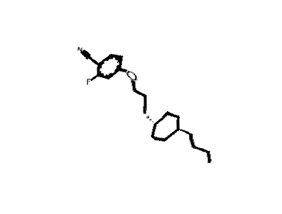 CCCC[C@H]1CC[C@H](CCCOc2ccc(C#N)c(F)c2)CC1